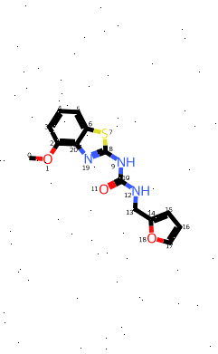 COc1cccc2sc(NC(=O)NCc3ccco3)nc12